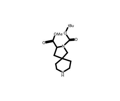 COC(=O)C1CC2(CCNCC2)CN1C(=O)OC(C)(C)C